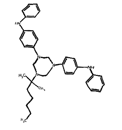 CCCCCC(C)(C)N1CN(c2ccc(Nc3ccccc3)cc2)CN(c2ccc(Nc3ccccc3)cc2)C1